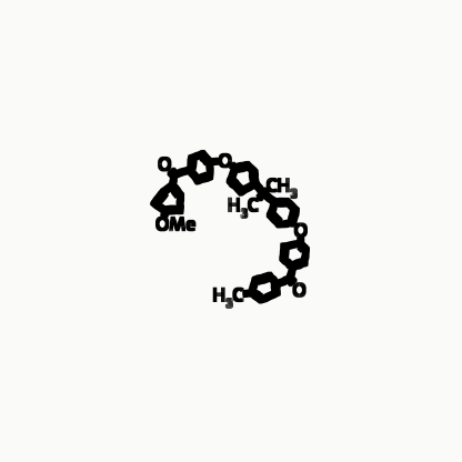 COc1ccc(C(=O)c2ccc(Oc3ccc(C(C)(C)c4ccc(Oc5ccc(C(=O)c6ccc(C)cc6)cc5)cc4)cc3)cc2)cc1